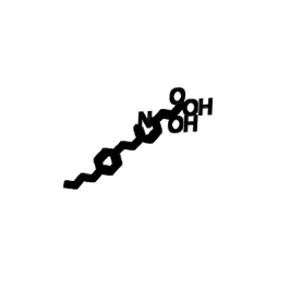 CCCCc1ccc(CCc2ccc(/C=C(\O)C(=O)O)nc2)cc1